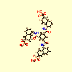 O=C(Nc1cccc2cc(S(=O)(=O)O)ccc12)c1cc(C(=O)Nc2cccc3cc(S(=O)(=O)O)ccc23)cc(C(=O)Nc2cccc3cc(S(=O)(=O)O)ccc23)c1